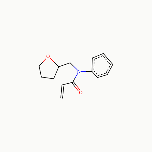 C=CC(=O)N(CC1CCCO1)c1ccccc1